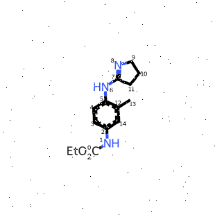 CCOC(=O)Nc1ccc(NC2=NCCC2)c(C)c1